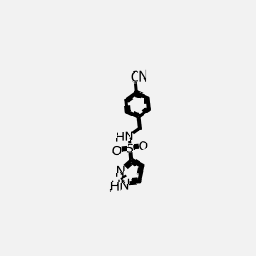 N#Cc1ccc(CNS(=O)(=O)c2cc[nH]n2)cc1